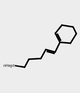 CCCCCCCCCCC=CC1=CCCCC1